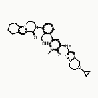 Cn1cc(-c2cccc(N3CCn4c(cc5c4CCCC5)C3=O)c2CO)cc(Nc2cc3n(n2)CCN(C2CC2)C3)c1=O